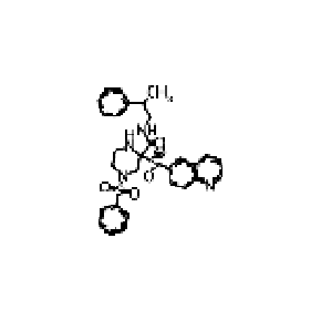 CC(CNC(=O)C1(S(=O)(=O)c2ccc3ncccc3c2)CN(S(=O)(=O)c2ccccc2)CCN1)c1ccccc1